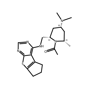 CC(=O)N1[C@H](CNc2ncnc3sc4c(c23)CCC4)C[C@H](N(C)C)C[C@@H]1C